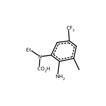 CCN(C(=O)O)c1cc(C(F)(F)F)cc(C)c1N